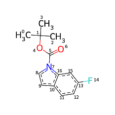 CC(C)(C)OC(=O)n1ccc2ccc(F)cc21